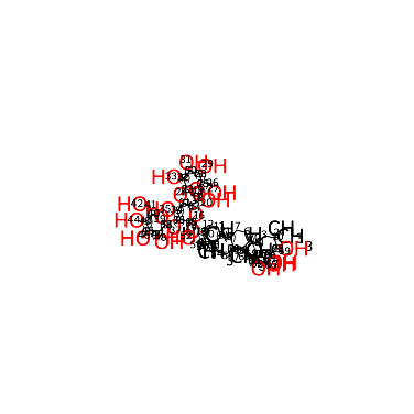 CC1(C)C[C@H]2C3=CC[C@@H]4[C@@]5(C)CC[C@H](O[C@@H]6O[C@H](C(=O)O)[C@@H](O[C@@H]7O[C@H](CO)[C@@H](O)[C@H](O)[C@H]7O)[C@H](O)[C@H]6O[C@@H]6O[C@H](CO)[C@@H](O)[C@H](O)[C@H]6O)[C@](C)(CO)[C@@H]5CC[C@@]4(C)[C@]3(C)C[C@@H](O)[C@@]2(CO)[C@H](O)[C@H]1O